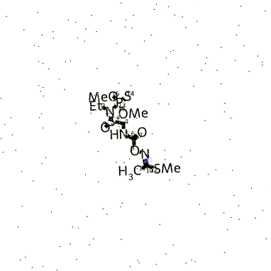 CCN([S+]([O-])CNC(=O)O/N=C(\C)SC)P(=S)(OC)OC